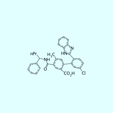 CCCC(NC(=O)c1cc(C(=O)O)c(-c2cc(Cl)ccc2-c2nc3ccccc3[nH]2)cc1C)c1ccccc1